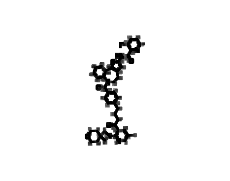 Cc1cnc(N2CC3(CCOCC3)C2)c(C(=O)CCCc2ccc(C(=O)N3CCc4cc(NC(=O)c5ncccc5F)sc4-c4ccccc43)cc2)c1